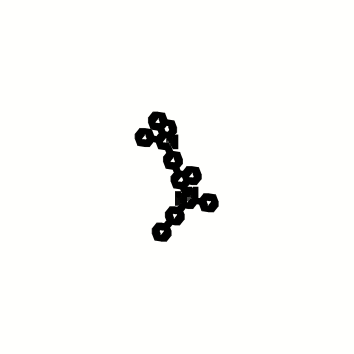 c1ccc(-c2ccc(-c3cc(-c4ccccc4)nc(-c4ccc(-c5ccc(-c6cc(-c7ccccc7)c7c(ccc8ccccc87)n6)cc5)c5ccccc45)n3)cc2)cc1